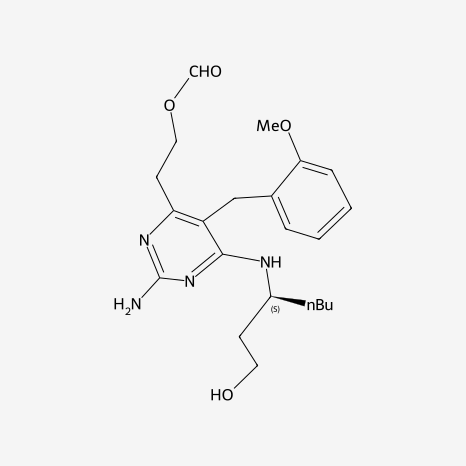 CCCC[C@@H](CCO)Nc1nc(N)nc(CCOC=O)c1Cc1ccccc1OC